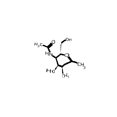 CC(=O)NC1[C@H](CO)OC(C)[C@@H](C)[C@H]1O